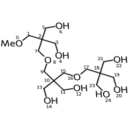 COCC(CO)(CO)COCC(CO)(CO)COCC(CO)(CO)CO